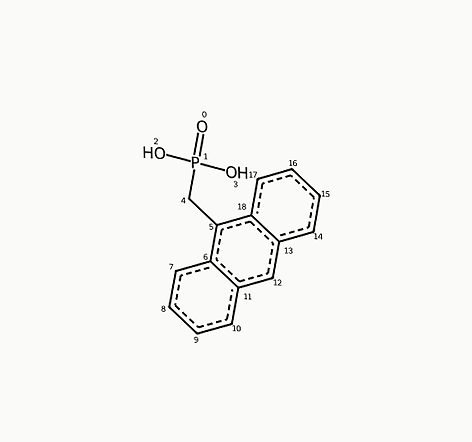 O=P(O)(O)Cc1c2ccccc2cc2ccccc12